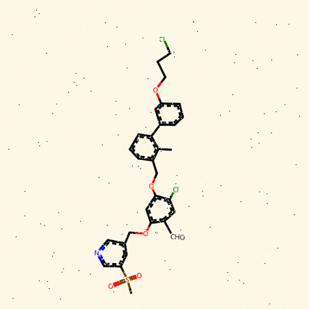 Cc1c(COc2cc(OCc3cncc(S(C)(=O)=O)c3)c(C=O)cc2Cl)cccc1-c1cccc(OCCCCl)c1